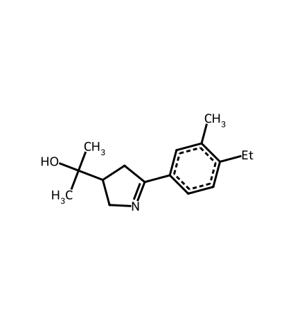 CCc1ccc(C2=NCC(C(C)(C)O)C2)cc1C